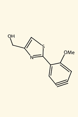 COc1cc#ccc1-c1nc(CO)cs1